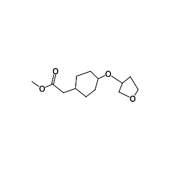 COC(=O)CC1CCC(OC2CCOC2)CC1